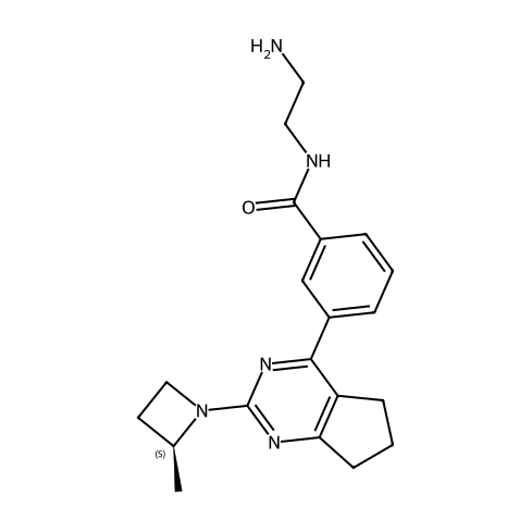 C[C@H]1CCN1c1nc2c(c(-c3cccc(C(=O)NCCN)c3)n1)CCC2